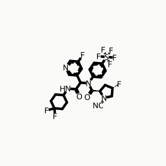 N#CN1C[C@@H](F)C[C@@H]1C(=O)N(c1ccc(S(F)(F)(F)(F)F)cc1)C(C(=O)NC1CCC(F)(F)CC1)c1cncc(F)c1